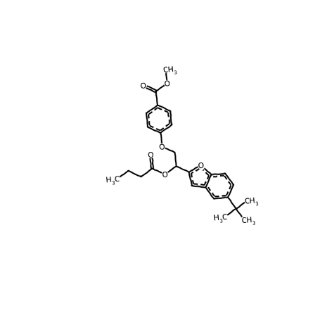 CCCC(=O)OC(COc1ccc(C(=O)OC)cc1)c1cc2cc(C(C)(C)C)ccc2o1